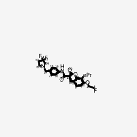 CCCc1c(OCCF)ccc2cc(C(=O)Nc3ccc(CN4CCC(F)(F)C4)cc3)c(=O)oc12